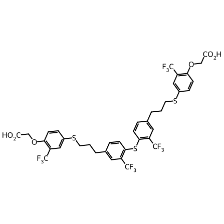 O=C(O)COc1ccc(SCCCc2ccc(Sc3ccc(CCCSc4ccc(OCC(=O)O)c(C(F)(F)F)c4)cc3C(F)(F)F)c(C(F)(F)F)c2)cc1C(F)(F)F